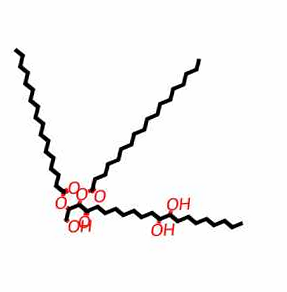 CCCCCCCCCCCCCCCCCC(=O)OC(CO)C(OC(=O)CCCCCCCCCCCCCCCCC)C(=O)CCCCCCCC(O)C(O)CCCCCCCC